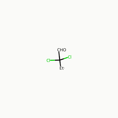 C[CH]C(Cl)(Cl)C=O